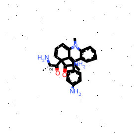 CC(N)C(=O)C1(C(=O)[C@H](C)N)C=CC=C2C1=C(c1ccc(N)cc1)c1ccccc1N2C